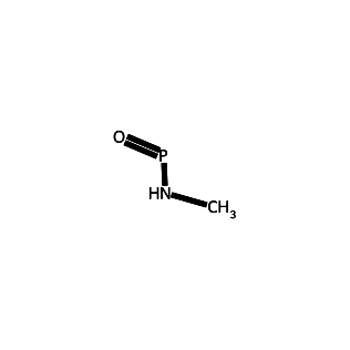 CNP=O